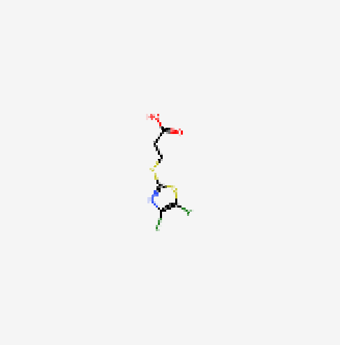 O=C(O)CCSc1nc(Cl)c(Cl)s1